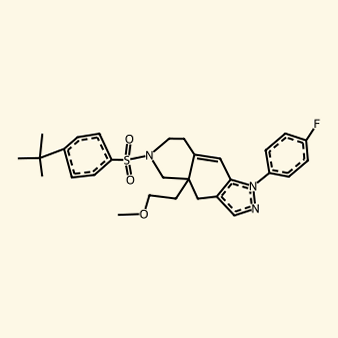 COCCC12Cc3cnn(-c4ccc(F)cc4)c3C=C1CCN(S(=O)(=O)c1ccc(C(C)(C)C)cc1)C2